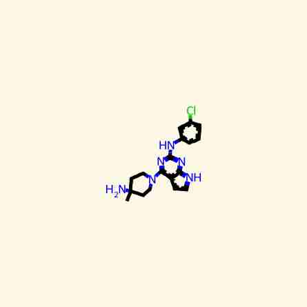 CC1(N)CCN(c2nc(Nc3cccc(Cl)c3)nc3[nH]ccc23)CC1